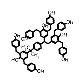 CC(C)(c1ccc(C(Cc2cc(Cc3ccc(O)cc3)c(O)c(Cc3ccc(O)cc3)c2)c2cc(Cc3ccc(O)cc3)c(O)c(Cc3ccc(O)cc3)c2)cc1)c1cc(Cc2ccc(O)cc2)c(O)c(Cc2ccc(O)cc2)c1